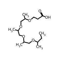 CCC(C)OCC(C)OCC(C)OCC(C)OCCC(=O)O